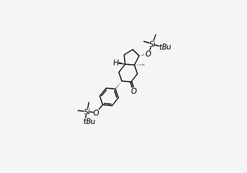 CC(C)(C)[Si](C)(C)Oc1ccc([C@@H]2C[C@@H]3CC[C@H](O[Si](C)(C)C(C)(C)C)[C@@]3(C)CC2=O)cc1